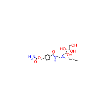 CCCCCCN(CCNC(=O)c1ccc(COC(N)=O)cc1)CC(O)C(O)C(O)CO